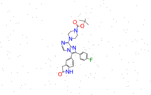 CC(C)(C)OC(=O)N1CCN(c2nccn3c(-c4ccc5c(c4)CC(=O)N5)c(-c4ccc(F)cc4)nc23)CC1